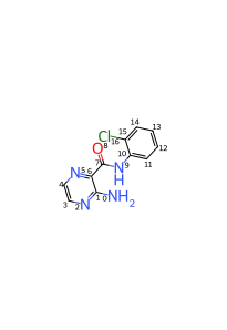 Nc1nccnc1C(=O)Nc1ccccc1Cl